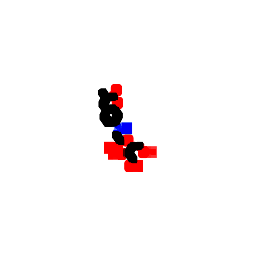 Cc1cc2ccc(NCC(O)OC(CO)[C@@H](O)CO)cc2oc1=O